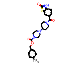 O=C(OCc1ccc(C(F)(F)F)cc1)N1CCN(C2CCN(C(=O)c3ccc4[nH]c(=O)sc4c3)CC2)CC1